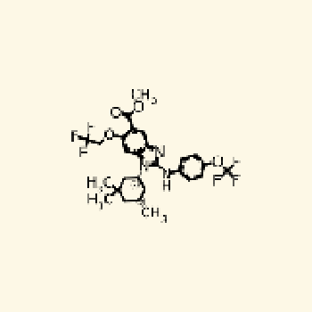 COC(=O)c1cc2nc(Nc3ccc(OC(F)(F)F)cc3)n([C@@H]3C[C@H](C)CC(C)(C)C3)c2cc1OCC(F)(F)F